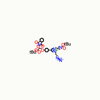 CC(C)(C)OC(=O)C(COc1ccc(-c2cn(CC3(F)CN(C(=O)OC(C)(C)C)C3)[n+](CCCN=[N+]=[N-])c2)cc1)ON1C(=O)c2ccccc2C1=O